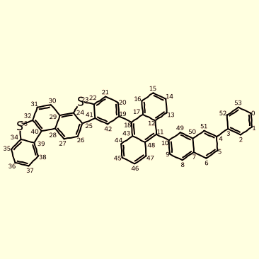 c1ccc(-c2ccc3ccc(-c4c5ccccc5c(-c5ccc6sc7c(ccc8c7ccc7sc9ccccc9c78)c6c5)c5ccccc45)cc3c2)cc1